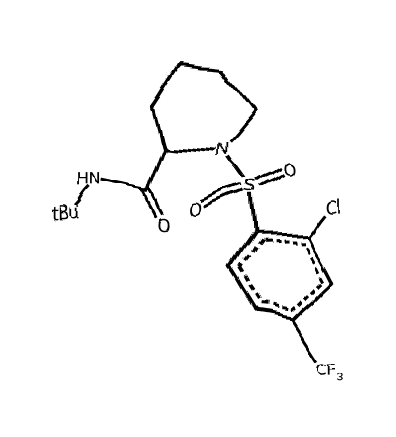 CC(C)(C)NC(=O)C1CCCCN1S(=O)(=O)c1ccc(C(F)(F)F)cc1Cl